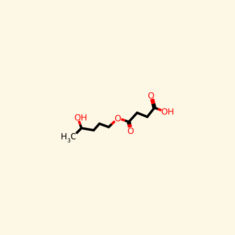 CC(O)CCCOC(=O)CCC(=O)O